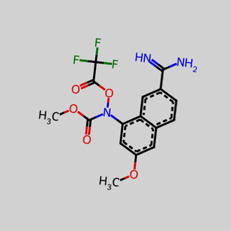 COC(=O)N(OC(=O)C(F)(F)F)c1cc(OC)cc2ccc(C(=N)N)cc12